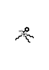 CCCCCO[Si](OCCCCC)(OCCCCC)C(O)c1ccccc1